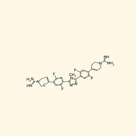 Cn1c(-c2cc(F)c(C3=CCN(C(=N)N)CC3)cc2F)nnc1-c1cc(F)c(C2=CCN(C(=N)N)CC2)cc1F